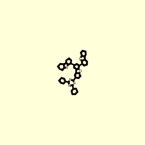 c1ccc(-c2nc(-c3ccccc3)nc(-c3ccc4oc5c(-c6cccc7c6sc6ccccc67)cc(-c6cccc7c6sc6ccccc67)cc5c4c3)n2)cc1